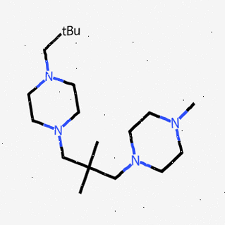 CN1CCN(CC(C)(C)CN2CCN(CC(C)(C)C)CC2)CC1